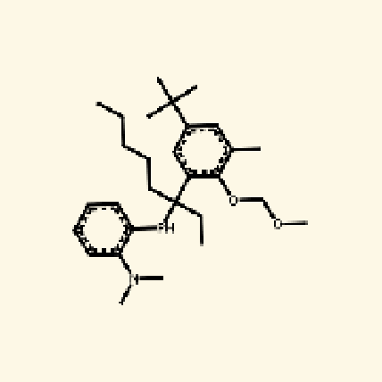 CCCCCC(CC)(Pc1ccccc1N(C)C)c1cc(C(C)(C)C)cc(C)c1OCOC